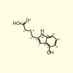 O=C(O)CSCc1cc2c(O)cccc2[nH]1